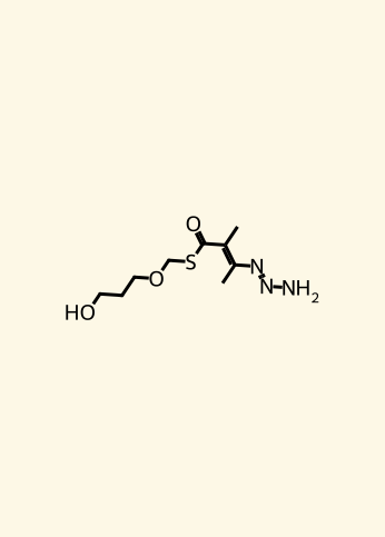 C/C(N=NN)=C(/C)C(=O)SCOCCCO